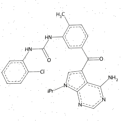 Cc1ccc(C(=O)c2cn(C(C)C)c3ncnc(N)c23)cc1NC(=O)Nc1ccccc1Cl